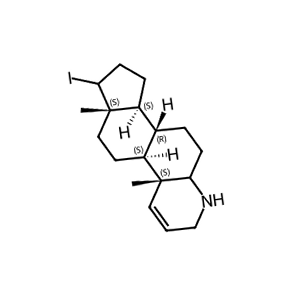 C[C@]12C=CCNC1CC[C@@H]1[C@@H]2CC[C@]2(C)C(I)CC[C@@H]12